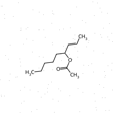 CC=CC(CCCCC)OC(C)=O